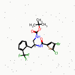 CC(C)(C)OC(=O)NC[C@H](Cc1ccccc1C(F)(F)F)NC(=O)c1cc(Br)c(Cl)s1